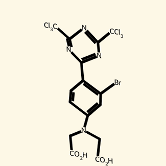 O=C(O)CN(CC(=O)O)c1ccc(-c2nc(C(Cl)(Cl)Cl)nc(C(Cl)(Cl)Cl)n2)c(Br)c1